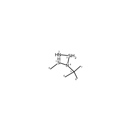 C[SiH]1N[SiH2]N1C(C)(C)C